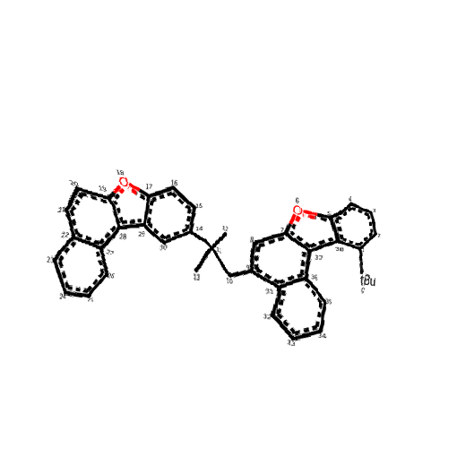 CC(C)(C)c1cccc2oc3cc(CC(C)(C)c4ccc5oc6ccc7ccccc7c6c5c4)c4ccccc4c3c12